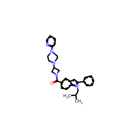 CC(C)Cn1c(-c2ccccc2)cc2cc(C(=O)N3CC(N4CCN(c5ccccn5)CC4)C3)ccc21